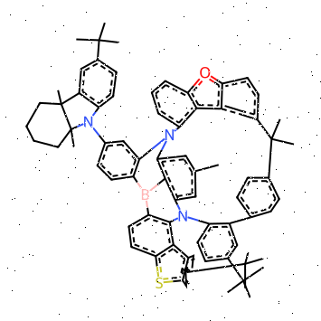 Cc1cc2c3c(c1)N1c4ccc(C(C)(C)C)cc4-c4ccc(cc4)C(C)(C)c4ccc5oc6cccc(c6c5c4)N2c2cc(N4c5ccc(C(C)(C)C)cc5C5(C)CCCCC45C)ccc2B3c2ccc3sc4ccc(C(C)(C)C)cc4c3c21